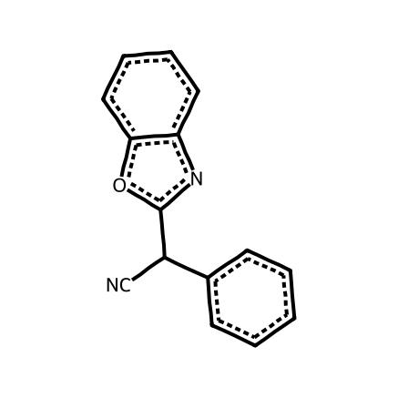 N#CC(c1ccccc1)c1nc2ccccc2o1